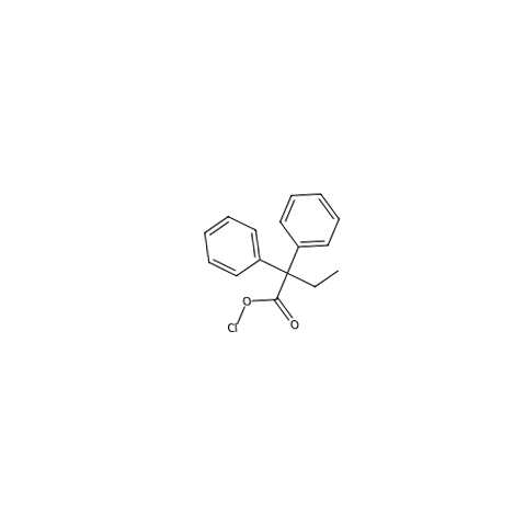 CCC(C(=O)OCl)(c1ccccc1)c1ccccc1